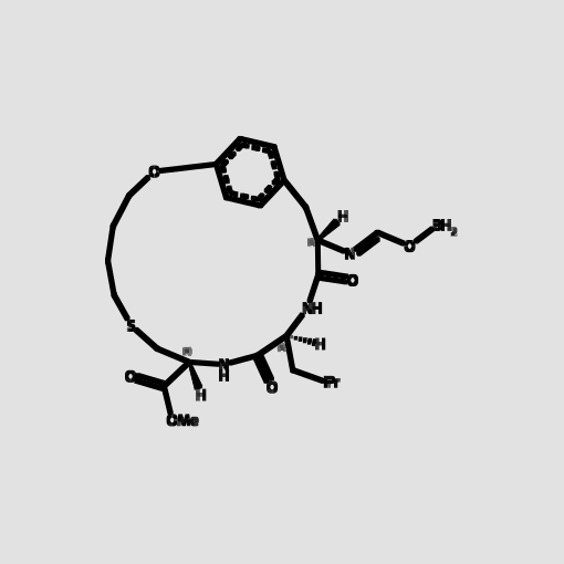 BOC=N[C@H]1Cc2ccc(cc2)OCCCCSC[C@@H](C(=O)OC)NC(=O)[C@H](CC(C)C)NC1=O